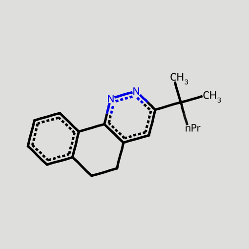 CCCC(C)(C)c1cc2c(nn1)-c1ccccc1CC2